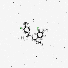 CC(C)c1ccc(C(C)CC[C@@H](C)c2ccc(C(C)C)c(F)c2)cc1F